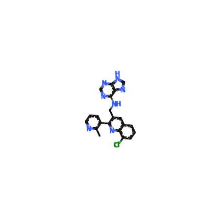 Cc1ncccc1-c1nc2c(Cl)cccc2cc1CNc1ncnc2[nH]cnc12